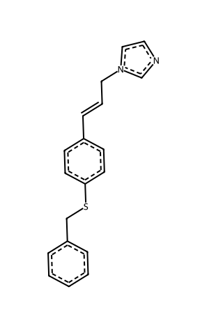 C(=Cc1ccc(SCc2ccccc2)cc1)Cn1ccnc1